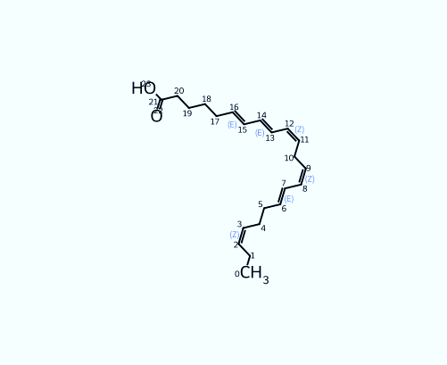 CC/C=C\CC/C=C/C=C\C\C=C/C=C/C=C/CCCCC(=O)O